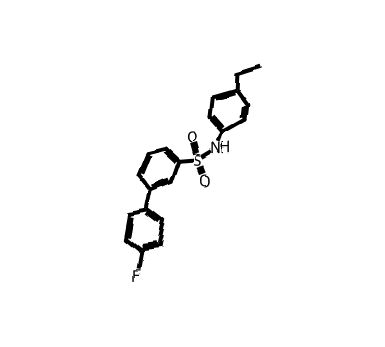 CCc1ccc(NS(=O)(=O)c2cccc(-c3ccc(F)cc3)c2)cc1